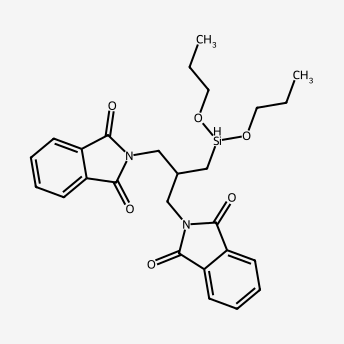 CCCO[SiH](CC(CN1C(=O)c2ccccc2C1=O)CN1C(=O)c2ccccc2C1=O)OCCC